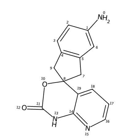 Nc1ccc2c(c1)CC1(C2)OC(=O)Nc2ncccc21